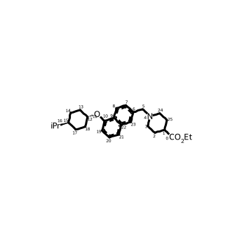 CCOC(=O)C1CCN(Cc2ccc3c(O[C@H]4CC[C@H](C(C)C)CC4)cccc3c2)CC1